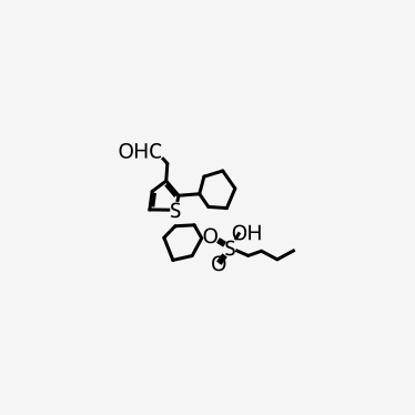 C1CCCCC1.CCCCS(=O)(=O)O.O=CCc1ccsc1C1CCCCC1